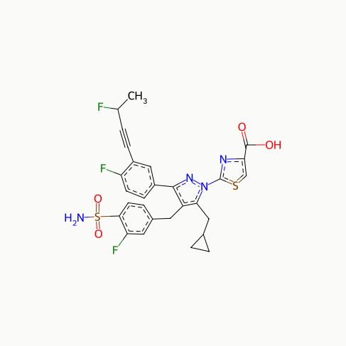 CC(F)C#Cc1cc(-c2nn(-c3nc(C(=O)O)cs3)c(CC3CC3)c2Cc2ccc(S(N)(=O)=O)c(F)c2)ccc1F